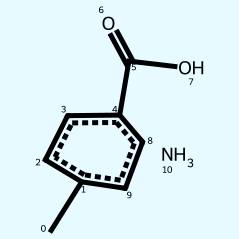 Cc1ccc(C(=O)O)cc1.N